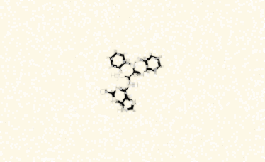 CC(Nc1nc(Cl)nc2[nH]cnc12)C1=Nc2ccccc2SN1c1ccccc1